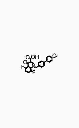 COc1ccc(-c2ccc(Cn3cc(C(=O)O)c(=O)c4c(F)ccc(F)c43)cc2)cc1